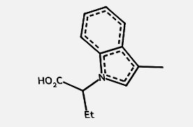 CCC(C(=O)O)n1cc(C)c2ccccc21